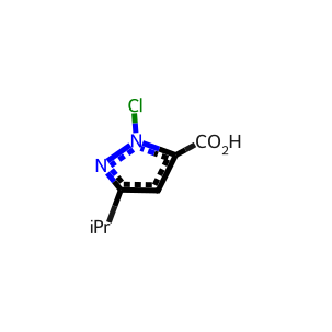 CC(C)c1cc(C(=O)O)n(Cl)n1